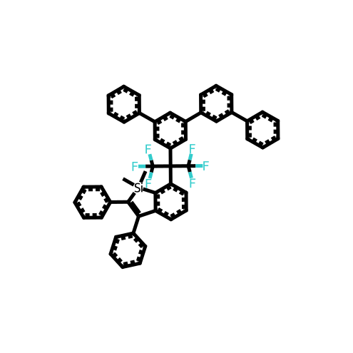 C[Si]1(C)C(c2ccccc2)=C(c2ccccc2)c2cccc(C(c3cc(-c4ccccc4)cc(-c4cccc(-c5ccccc5)c4)c3)(C(F)(F)F)C(F)(F)F)c21